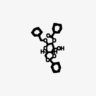 O=C(O[C@H]1C(OCc2ccccc2)O[C@@H]2COC(c3ccccc3)O[C@H]2[C@@H]1O)c1ccccc1